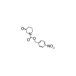 O=C1CCCN(C(=O)OCc2ccc([N+](=O)[O-])cc2)C1